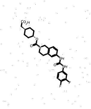 O=C(O)C[C@H]1CC[C@H](OC(=O)N2CCc3cc(NC(=O)Nc4ccc(F)c(F)c4)ccc3C2)CC1